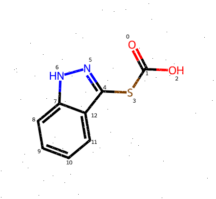 O=C(O)Sc1n[nH]c2ccccc12